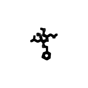 COCc1nc(OCc2ccccc2)c(CC(C)C)[n+]([O-])c1OC